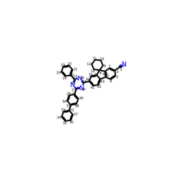 N#Cc1ccc2c(c1)C1(CCCCC1)c1cc(-c3nc(-c4ccccc4)nc(-c4ccc(-c5ccccc5)cc4)n3)ccc1-2